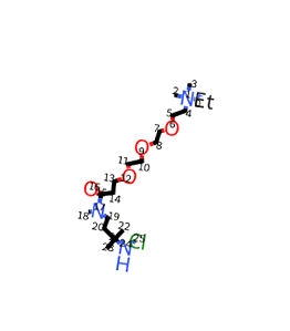 CC[N+](C)(C)CCOCCOCCOCCC(=O)N(C)CCC(C)(C)NCl